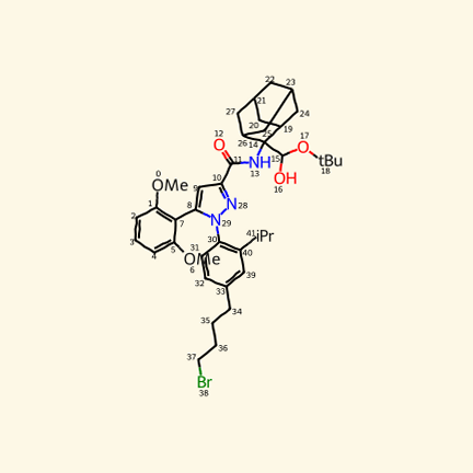 COc1cccc(OC)c1-c1cc(C(=O)NC2(C(O)OC(C)(C)C)C3CC4CC(C3)CC2C4)nn1-c1ccc(CCCCBr)cc1C(C)C